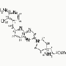 COCCC1(N)CCN(c2cnc3nc(Sc4ccnc(N)c4Cl)ccc3n2)CC1